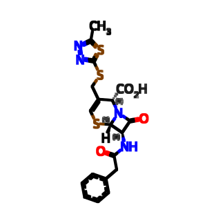 Cc1nnc(SCC2=CS[C@H]3[C@H](NC(=O)Cc4ccccc4)C(=O)N3[C@H]2C(=O)O)s1